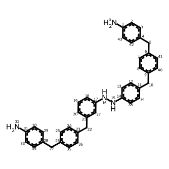 Nc1ccc(Cc2ccc(Cc3ccc(NNc4cccc(Cc5ccc(Cc6ccc(N)cc6)cc5)c4)cc3)cc2)cc1